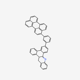 c1cc(-c2ccc3c(c2)-c2ccccc2C2Cc4ccccc4N=C32)cc(-c2ccc3c4cccc5cccc(c6cccc2c63)c54)c1